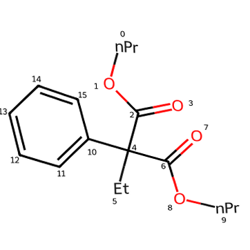 CCCOC(=O)C(CC)(C(=O)OCCC)c1ccccc1